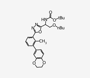 CCCCOCC(NC(=O)OC(C)(C)C)c1nnc(-c2cccc(-c3ccc4c(c3)OCCO4)c2C)o1